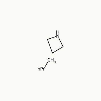 C1CNC1.CCCC